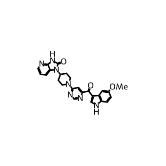 COc1ccc2[nH]cc(C(=O)c3cc(N4CCC(n5c(=O)[nH]c6ncccc65)CC4)ncn3)c2c1